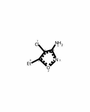 CCc1onc(N)c1Cl